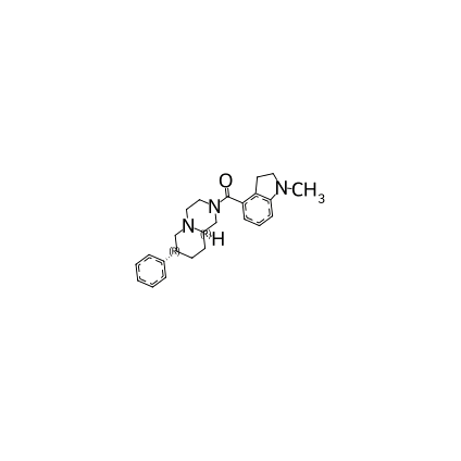 CN1CCc2c(C(=O)N3CCN4C[C@@H](c5ccccc5)CC[C@@H]4C3)cccc21